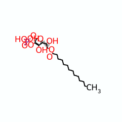 CCCCCCCCCCCCCC(=O)OC[C@H](O)[C@H]1OC(=O)C(OP(=O)(O)O)=C1O